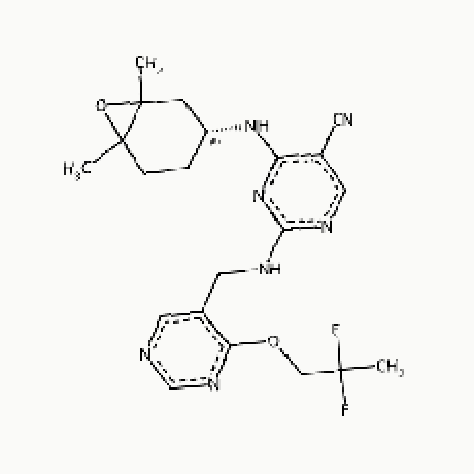 CC(F)(F)COc1ncncc1CNc1ncc(C#N)c(N[C@@H]2CCC3(C)OC3(C)C2)n1